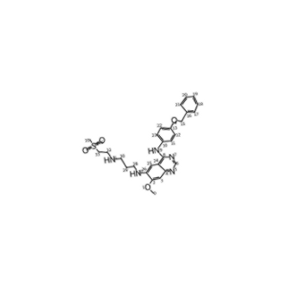 COc1cc2ncnc(Nc3ccc(OCc4ccccc4)cc3)c2cc1NCCCNCCS(C)(=O)=O